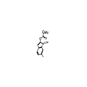 COC(=O)Oc1cc2ccc(C)cc2n1C#N